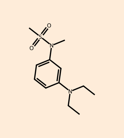 CCN(CC)c1cccc(N(C)S(C)(=O)=O)c1